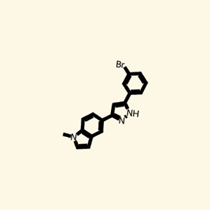 Cn1ccc2cc(-c3cc(-c4cccc(Br)c4)[nH]n3)ccc21